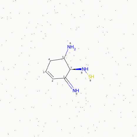 N=C1C=CCC(N)[C@H]1NS